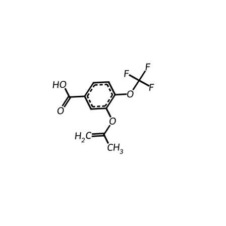 C=C(C)Oc1cc(C(=O)O)ccc1OC(F)(F)F